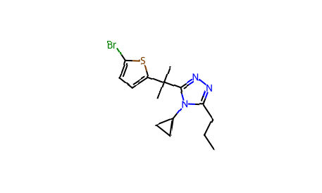 CCCc1nnc(C(C)(C)c2ccc(Br)s2)n1C1CC1